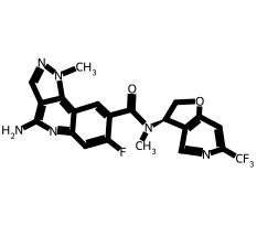 CN(C(=O)c1cc2c(cc1F)nc(N)c1cnn(C)c12)[C@H]1COc2cc(C(F)(F)F)ncc21